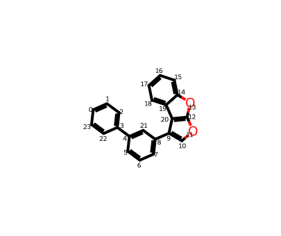 c1ccc(-c2cccc(-c3coc4oc5ccccc5c34)c2)cc1